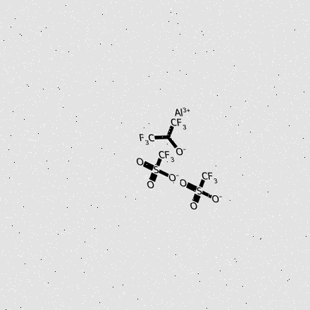 O=S(=O)([O-])C(F)(F)F.O=S(=O)([O-])C(F)(F)F.[Al+3].[O-]C(C(F)(F)F)C(F)(F)F